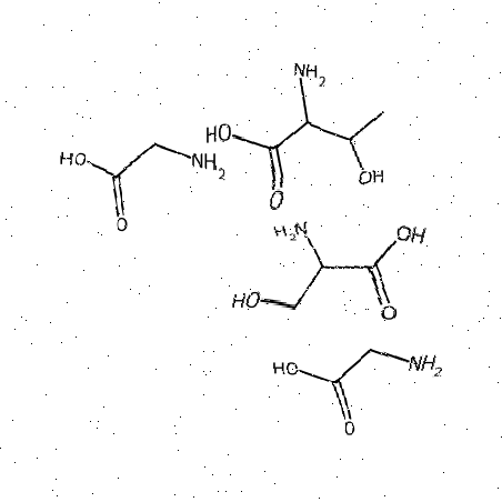 CC(O)C(N)C(=O)O.NC(CO)C(=O)O.NCC(=O)O.NCC(=O)O